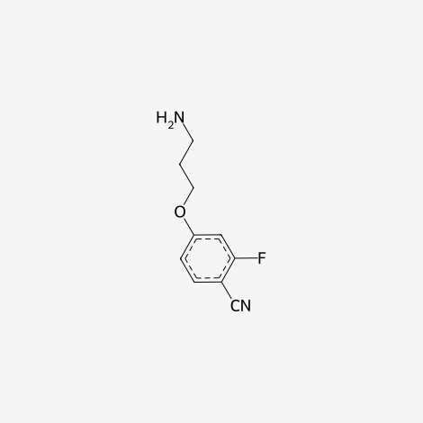 N#Cc1ccc(OCCCN)cc1F